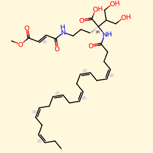 CC/C=C\C/C=C\C/C=C\C/C=C\C/C=C\C/C=C\CCC(=O)N[C@@](CCCNC(=O)/C=C/C(=O)OC)(C(=O)O)C(CO)CO